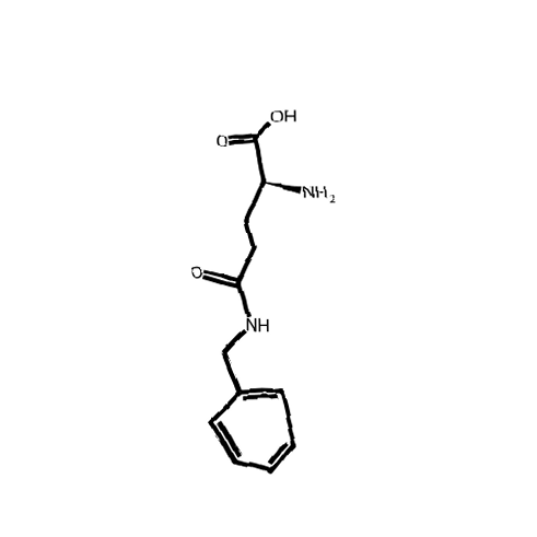 N[C@@H](CCC(=O)NCc1ccccc1)C(=O)O